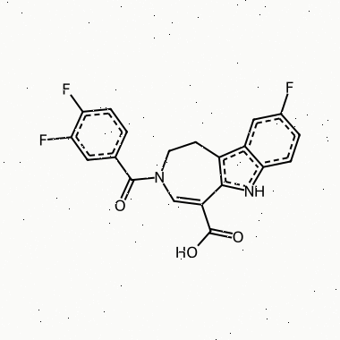 O=C(O)C1=CN(C(=O)c2ccc(F)c(F)c2)CCc2c1[nH]c1ccc(F)cc21